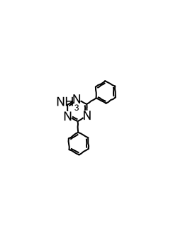 N.c1ccc(-c2ncnc(-c3ccccc3)n2)cc1